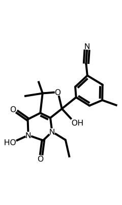 CCn1c2c(c(=O)n(O)c1=O)C(C)(C)OC2(O)c1cc(C)cc(C#N)c1